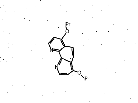 CC(C)Oc1ccnc2c1ccc1c(OC(C)C)ccnc12